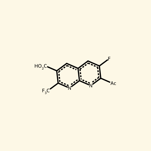 CC(=O)c1nc2nc(C(F)(F)F)c(C(=O)O)cc2cc1F